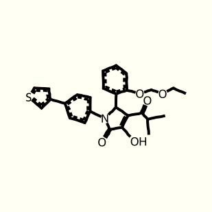 CCOCOc1ccccc1C1C(C(=O)C(C)C)=C(O)C(=O)N1c1ccc(-c2ccsc2)cc1